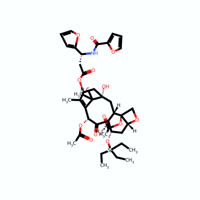 CC[Si](CC)(CC)O[C@H]1C[C@H]2OC[C@@]2(OC(C)=O)[C@H]2C[C@]3(O)C[C@H](OC(=O)C[C@@H](NC(=O)c4ccco4)c4ccco4)C(C)=C([C@@H](OC(C)=O)C(=O)[C@]12C)C3(C)C